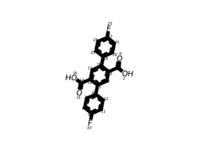 O=C(O)c1cc(-c2ccc(F)cc2)c(C(=O)O)cc1-c1ccc(F)cc1